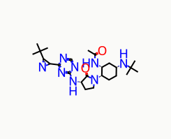 CC(=O)N[C@@H]1C[C@H](NC(C)(C)C)CC[C@@H]1N1CC[C@H](Nc2ncnc(C3N=C3C(C)(C)C)n2)C1=O